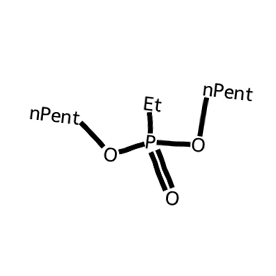 CCCCCOP(=O)(CC)OCCCCC